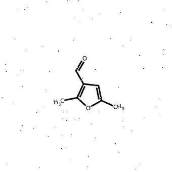 Cc1cc(C=O)c(C)o1